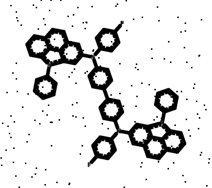 Fc1ccc(N(c2ccc(-c3ccc(N(c4ccc(F)cc4)c4cc5ccc6cccc7c6c5c(c4)n7-c4ccccc4)cc3)cc2)c2cc3ccc4cccc5c4c3c(c2)n5-c2ccccc2)cc1